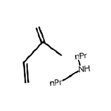 C=CC(=C)C.CCCNCCC